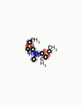 Cc1ccc2c(c1)P(=O)(c1ccc(C3=NC(c4ccc(P5(=O)c6cc(C)ccc6Oc6ccc(C)cc65)cc4)NC(c4ccccc4)=N3)cc1)c1cc(C)ccc1O2